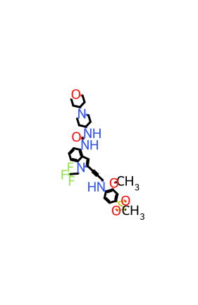 COc1cc(S(C)(=O)=O)ccc1NCC#Cc1cc2c(NC(=O)NC3CCN(C4CCOCC4)CC3)cccc2n1CC(F)(F)F